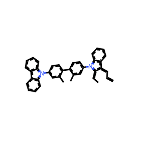 C=C/C=c1\c(=C/C)n(-c2ccc(-c3ccc(-n4c5ccccc5c5ccccc54)cc3C)c(C)c2)c2ccccc12